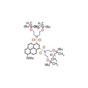 CNc1ccc2ccc3c(S(=O)(=O)N(CCO[Si](C)(C)C(C)(C)C)CCO[Si](C)(C)C(C)(C)C)cc(S(=O)(=O)N(CCO[Si](C)(C)C(C)(C)C)CCO[Si](C)(C)C(C)(C)C)c4ccc1c2c34